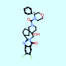 O=C(N1CCC2(O)Cn3c(nc4cc(F)c(F)cc4c3=O)C3CCC2(C3)C1)N1CCOC[C@H]1c1ccccc1